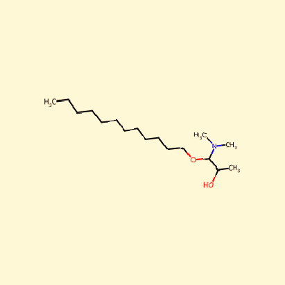 CCCCCCCCCCCCOC(C(C)O)N(C)C